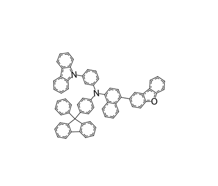 c1ccc(C2(c3ccc(N(c4cccc(-n5c6ccccc6c6ccccc65)c4)c4ccc(-c5ccc6oc7ccccc7c6c5)c5ccccc45)cc3)c3ccccc3-c3ccccc32)cc1